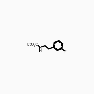 CCOC(=O)NCCc1cccc(F)c1